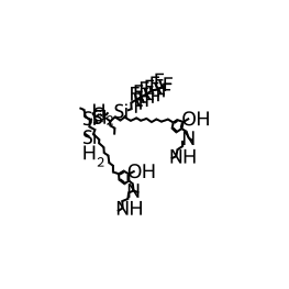 CCCC(CCC(CCCCCCCCc1ccc(CN(C)CCCNC)c(O)c1)[SiH2]C)[Si](C)(C)O[Si](C)(C)C(CCC)CCC(CCCCCCCCc1ccc(CN(C)CCCNC)c(O)c1)[SiH2]CCC(F)(F)C(F)(F)C(F)(F)C(F)(F)C(F)(F)C(F)(F)F